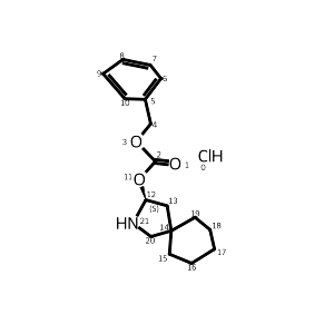 Cl.O=C(OCc1ccccc1)O[C@H]1CC2(CCCCC2)CN1